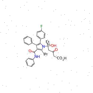 CC[C@@](O)(CC(=O)CC(=O)O)n1c(-c2ccc(F)cc2)c(-c2ccccc2)c(C(=O)Nc2ccccc2)c1C(C)C